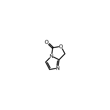 O=C1OCc2nccn21